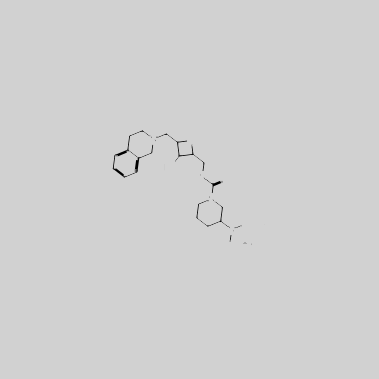 CCCCCCN(C=O)C1CCCN(C(=O)NCC2SC(CN3CCc4ccccc4C3)C2O)C1